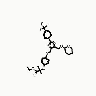 CCOC(=O)C(C)(C)Oc1ccc(SCc2sc(-c3ccc(C(F)(F)F)cc3)nc2COC2CCCCO2)cc1